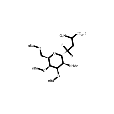 CCCCOC[C@H]1O[C@H](C(F)(F)CC(C(=O)OCC)[N+](=O)[O-])[C@@H](NC(C)=O)[C@@H](OCCCC)[C@H]1OCCCC